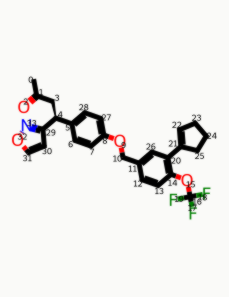 CC(=O)C[C@@H](c1ccc(OCc2ccc(OC(F)(F)F)c(C3=CCCC3)c2)cc1)c1ccon1